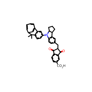 CC1(C)c2ccc(N3c4ccc(CC5C(=O)c6ccc(C(=O)O)cc6C5=O)cc4C4CCCC43)cc2C2=CC1C=CC=C2